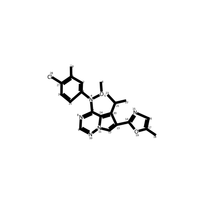 [CH]c1cc(N(OC)c2ncnn3cc(-c4ncc(C)o4)c(C(C)C)c23)ccc1Cl